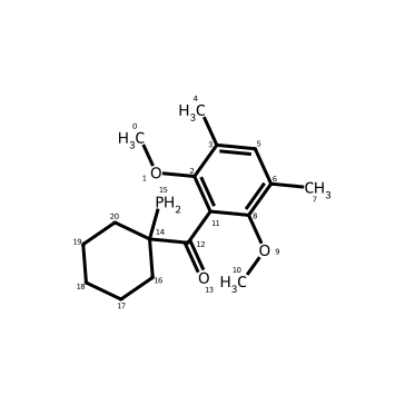 COc1c(C)cc(C)c(OC)c1C(=O)C1(P)CCCCC1